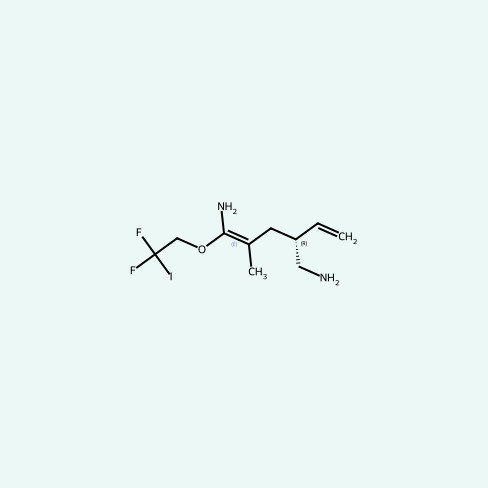 C=C[C@H](CN)C/C(C)=C(\N)OCC(F)(F)I